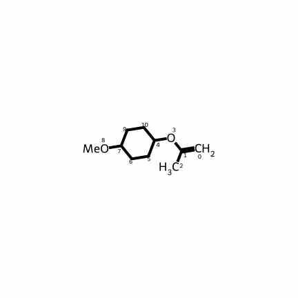 C=C(C)OC1CCC(OC)CC1